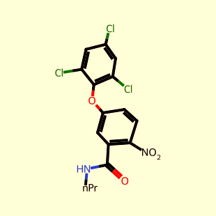 CCCNC(=O)c1cc(Oc2c(Cl)cc(Cl)cc2Cl)ccc1[N+](=O)[O-]